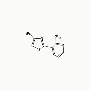 CC(C)c1csc(-c2ccccc2N)n1